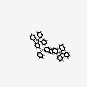 c1ccc(N(c2ccc3c(c2)C(c2ccccc2)(c2ccccc2)c2ccccc2-3)c2ccc3c(c2)sc2cc([Si](c4ccccc4)(c4ccccc4)c4ccccc4)ccc23)cc1